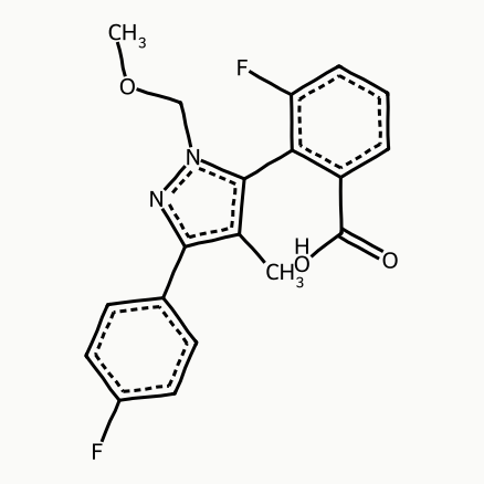 COCn1nc(-c2ccc(F)cc2)c(C)c1-c1c(F)cccc1C(=O)O